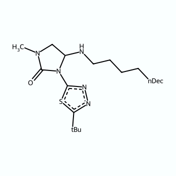 CCCCCCCCCCCCCCNC1CN(C)C(=O)N1c1nnc(C(C)(C)C)s1